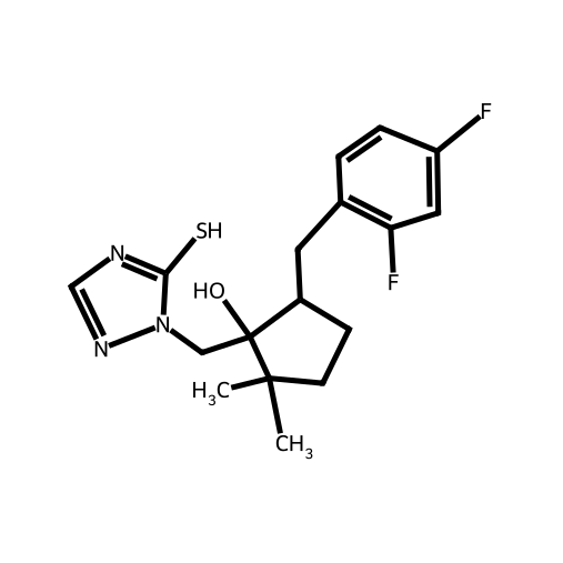 CC1(C)CCC(Cc2ccc(F)cc2F)C1(O)Cn1ncnc1S